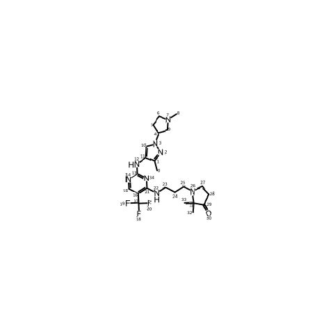 Cc1nn(C2CCN(C)C2)cc1Nc1ncc(C(F)(F)F)c(NCCCN2CCC(=O)C2(C)C)n1